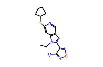 CCn1c(-c2nonc2N)nc2cnc(SC3CCCC3)cc21